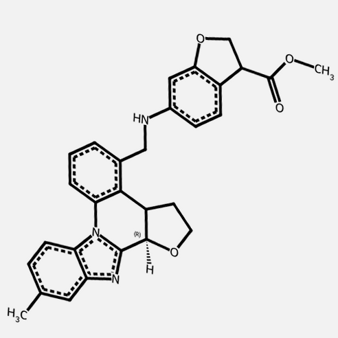 COC(=O)C1COc2cc(NCc3cccc4c3C3CCO[C@H]3c3nc5cc(C)ccc5n3-4)ccc21